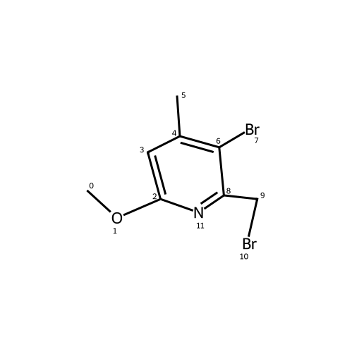 COc1cc(C)c(Br)c(CBr)n1